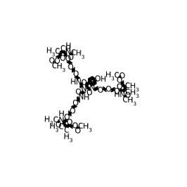 CC(=O)NC1C(OCCOCCOCCNC(=O)CN(CC(=O)NCCOCCOCCOC2OC(COC(C)=O)C(C)C(C)C2NC(C)=O)C(Cc2ccc(O)cc2)C(=O)NCCOCCOCCOC2OC(COC(C)=O)C(C)C(C)C2NC(C)=O)OC(COC(C)=O)C(C)C1C